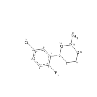 Fc1ccc(Cl)cc1[C@H]1CCOP(P)O1